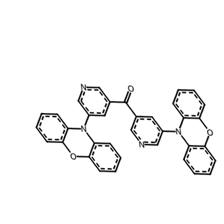 O=C(c1cncc(N2c3ccccc3Oc3ccccc32)c1)c1cncc(N2c3ccccc3Oc3ccccc32)c1